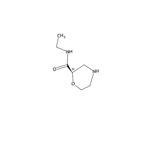 CCNC(=O)[C@H]1CNCCO1